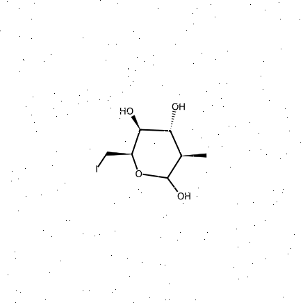 C[C@H]1C(O)O[C@@H](CI)[C@@H](O)[C@@H]1O